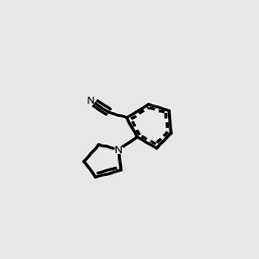 N#Cc1ccccc1N1C=CCC1